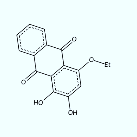 CCOc1cc(O)c(O)c2c1C(=O)c1ccccc1C2=O